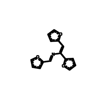 C(=NC(=Cc1ccco1)c1ccco1)c1ccco1